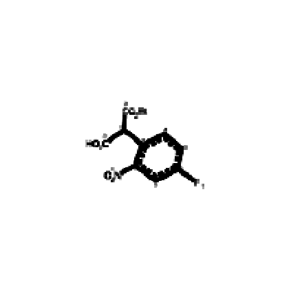 CCOC(=O)C(C(=O)O)c1ccc(F)cc1[N+](=O)[O-]